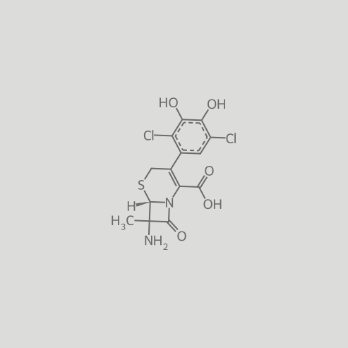 CC1(N)C(=O)N2C(C(=O)O)=C(c3cc(Cl)c(O)c(O)c3Cl)CS[C@H]21